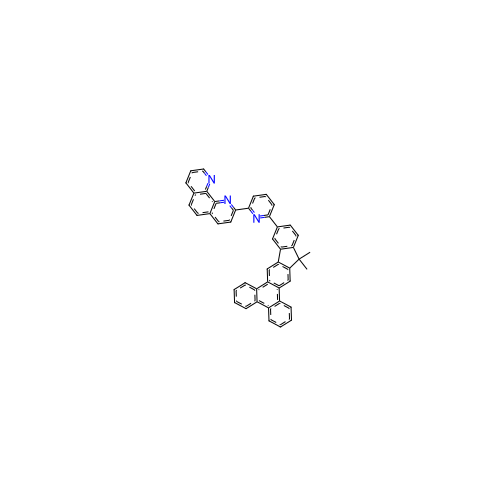 CC1(C)c2ccc(-c3cccc(-c4ccc5ccc6cccnc6c5n4)n3)cc2-c2cc3c4ccccc4c4ccccc4c3cc21